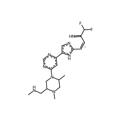 CNCC1CN(c2cc(-c3cnc(/C=C\C(=N)C(F)F)[nH]3)ncn2)C(C)CN1C